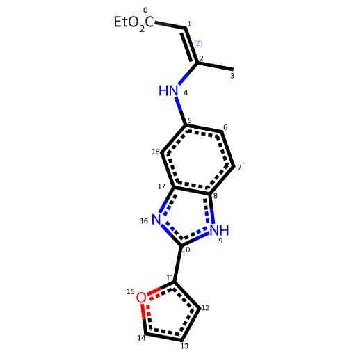 CCOC(=O)/C=C(/C)Nc1ccc2[nH]c(-c3ccco3)nc2c1